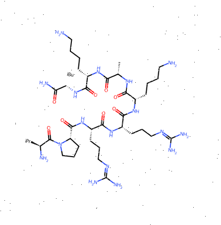 CC[C@H](C)[C@H](NC(=O)[C@H](CCCCN)NC(=O)[C@H](C)NC(=O)[C@H](CCCCN)NC(=O)[C@H](CCCN=C(N)N)NC(=O)[C@H](CCCN=C(N)N)NC(=O)[C@@H]1CCCN1C(=O)[C@@H](N)C(C)C)C(N)=O